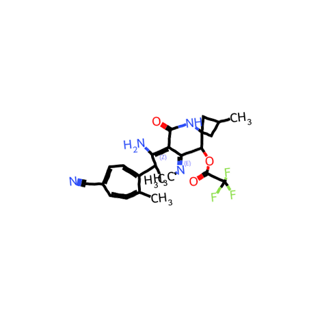 C/N=C1\C(=C(\N)C(C)C2=CC=C(C#N)C=C=C2C)C(=O)NC2(CC(C)C2)C1OC(=O)C(F)(F)F